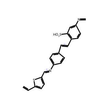 C=Cc1ccc(/C=N/c2ccc(/C=C/c3ccc(N=C)cc3S(=O)(=O)O)cc2)s1